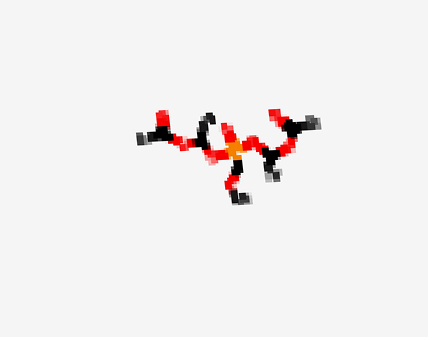 CCC(=O)OC(OP(=O)(COC(C)(C)C)OC(OC(=O)CC)C(C)C)C(C)C